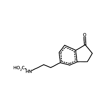 O=C(O)NCCc1ccc2c(c1)CCC2=O